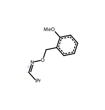 COc1ccccc1CO/N=[C]\C(C)C